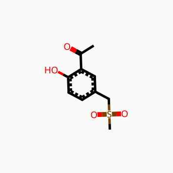 CC(=O)c1cc(CS(C)(=O)=O)ccc1O